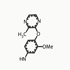 COc1cc([NH])ccc1Oc1nccnc1C